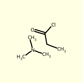 CCC(=O)Cl.CN(C)C